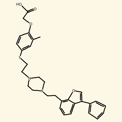 Cc1cc(SCCN2CCN(CCc3cccc4c(-c5ccccc5)coc34)CC2)ccc1OCC(=O)O